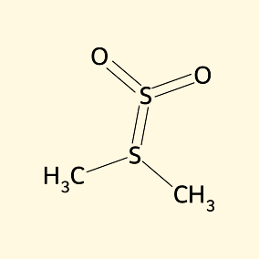 CS(C)=S(=O)=O